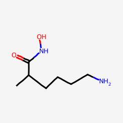 CC(CCCCN)C(=O)NO